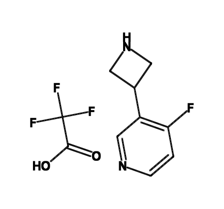 Fc1ccncc1C1CNC1.O=C(O)C(F)(F)F